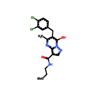 COCCNC(=O)c1cnn2c(O)c(Cc3ccc(Cl)c(Cl)c3)c(C)nc12